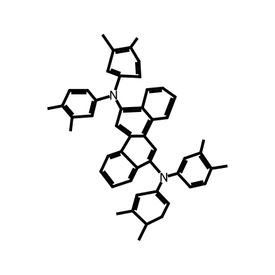 CC1=CC(N(c2ccc(C)c(C)c2)c2cc3c4ccccc4c(N(c4ccc(C)c(C)c4)c4ccc(C)c(C)c4)cc3c3ccccc23)=CCC1C